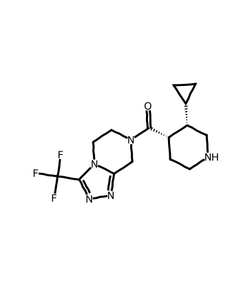 O=C([C@H]1CCNC[C@H]1C1CC1)N1CCn2c(nnc2C(F)(F)F)C1